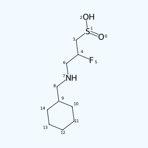 O=S(O)CC(F)CNCC1CCCCC1